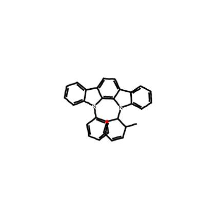 CC1C=CC=CC1n1c2ccccc2c2ccc3c4ccccc4n(-c4ccccc4)c3c21